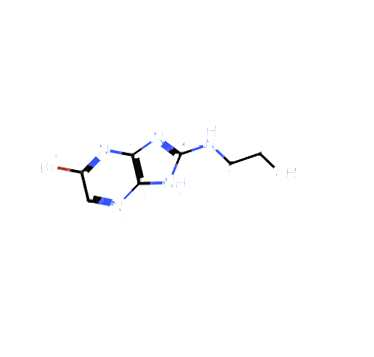 CCCNc1nc2nc(Br)cnc2[nH]1